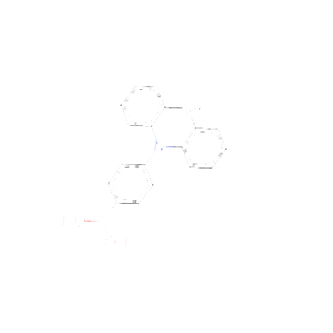 OB(O)c1ccc(N2c3ccccc3[Se]c3ccccc32)cc1